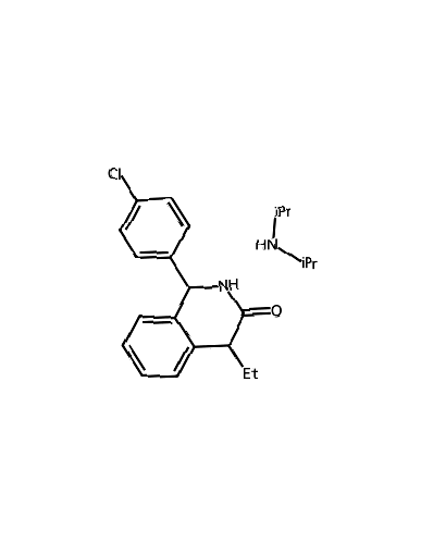 CC(C)NC(C)C.CCC1C(=O)NC(c2ccc(Cl)cc2)c2ccccc21